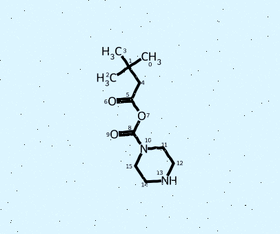 CC(C)(C)CC(=O)OC(=O)N1CCNCC1